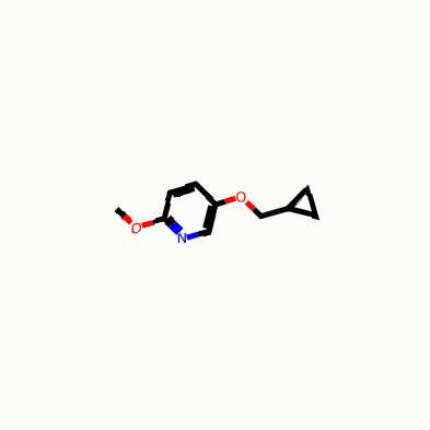 COc1ccc(OCC2CC2)cn1